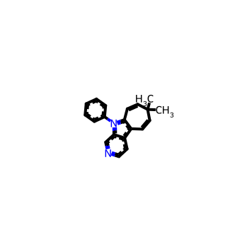 CC1(C)C=Cc2c(n(-c3ccccc3)c3cnccc23)C=C1